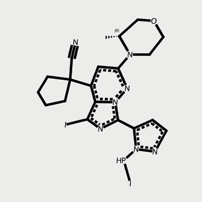 C[C@@H]1COCCN1c1cc(C2(C#N)CCCC2)c2c(I)nc(-c3ccnn3PI)n2n1